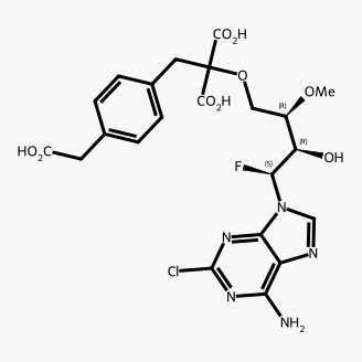 CO[C@H](COC(Cc1ccc(CC(=O)O)cc1)(C(=O)O)C(=O)O)[C@@H](O)[C@H](F)n1cnc2c(N)nc(Cl)nc21